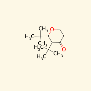 CC(C)(C)C1OCCC(=O)C1C(C)(C)C